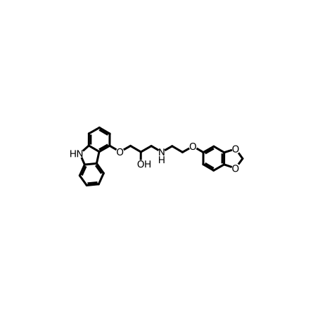 OC(CNCCOc1ccc2c(c1)OCO2)COc1cccc2[nH]c3ccccc3c12